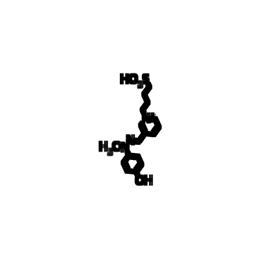 CN(N=Cc1ccc[n+](CCCCS(=O)(=O)O)c1)c1ccc(O)cc1